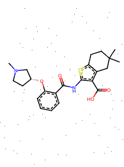 CN1CC[C@@H](Oc2ccccc2C(=O)Nc2sc3c(c2C(=O)O)CC(C)(C)CC3)C1